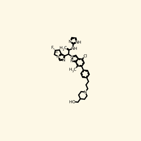 C=C(Nc1ncc[nH]1)C(c1ncn2c1C[C@@H](F)C2)n1cc2c(Cl)cc(-c3ccc(CCCN4CCC(CO)CC4)cc3)c(C)c2n1